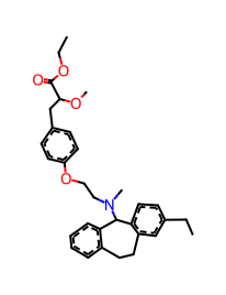 CCOC(=O)C(Cc1ccc(OCCN(C)C2c3ccccc3CCc3cc(CC)ccc32)cc1)OC